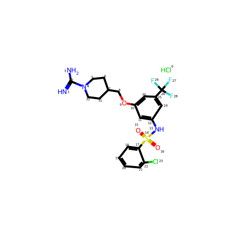 Cl.N=C(N)N1CCC(COc2cc(NS(=O)(=O)c3ccccc3Cl)cc(C(F)(F)F)c2)CC1